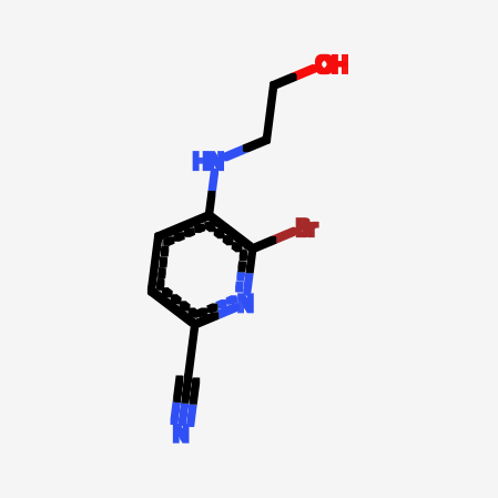 N#Cc1ccc(NCCO)c(Br)n1